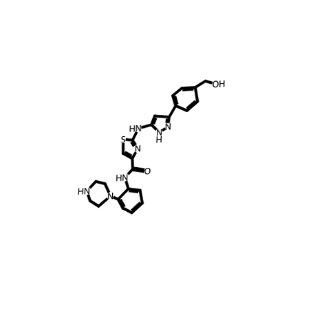 O=C(Nc1ccccc1N1CCNCC1)c1csc(Nc2cc(-c3ccc(CO)cc3)n[nH]2)n1